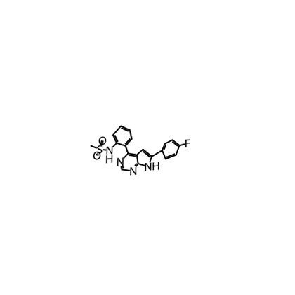 CS(=O)(=O)Nc1ccccc1-c1ncnc2[nH]c(-c3ccc(F)cc3)cc12